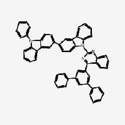 c1ccc(-c2cc(-c3ccccc3)cc(-c3nc(-n4c5ccccc5c5cc(-c6ccc7c(c6)c6ccccc6n7-c6ccccc6)ccc54)nc4ccccc34)c2)cc1